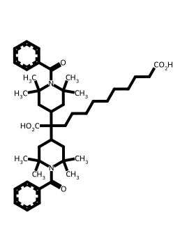 CC1(C)CC(C(CCCCCCCCCC(=O)O)(C(=O)O)C2CC(C)(C)N(C(=O)c3ccccc3)C(C)(C)C2)CC(C)(C)N1C(=O)c1ccccc1